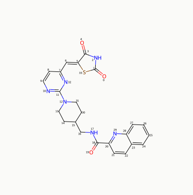 O=C1NC(=O)C(=Cc2ccnc(N3CCC(CNC(=O)c4ccc5ccccc5n4)CC3)n2)S1